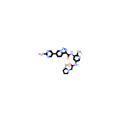 Cc1ncc(-c2ccc3c(C(=O)Nc4cc(NC(=O)CN5CCC[C@@H]5C)cnc4C)nnn3c2)cn1